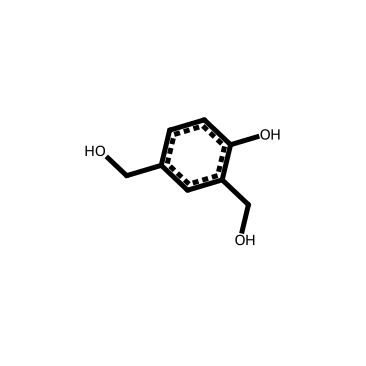 OCc1ccc(O)c(CO)c1